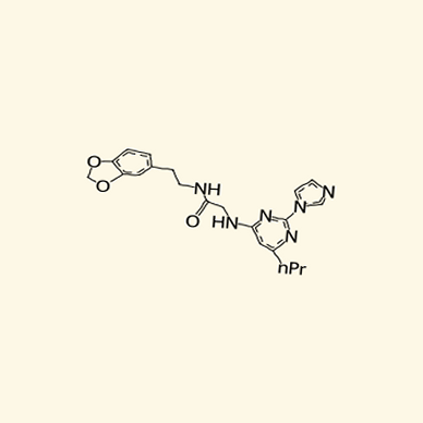 CCCc1cc(NCC(=O)NCCc2ccc3c(c2)OCO3)nc(-n2ccnc2)n1